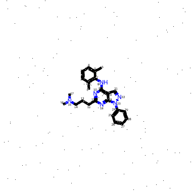 Cc1cccc(C)c1Nc1nc(CCCN(C)C)nc2c1cnn2-c1ccccc1